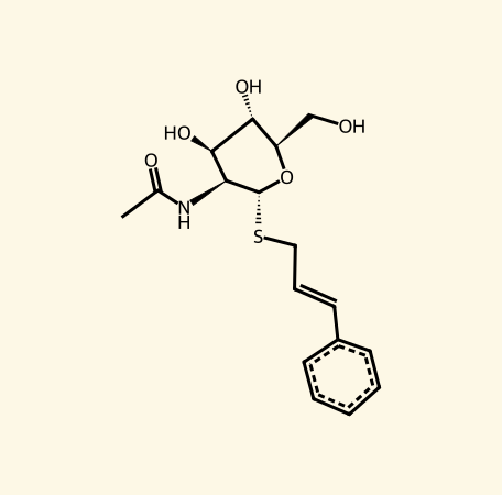 CC(=O)N[C@H]1[C@@H](O)[C@H](O)[C@@H](CO)O[C@@H]1SC/C=C/c1ccccc1